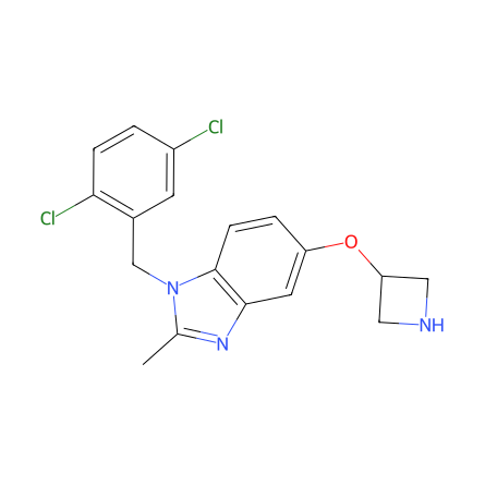 Cc1nc2cc(OC3CNC3)ccc2n1Cc1cc(Cl)ccc1Cl